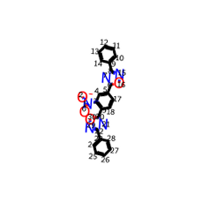 O=[N+]([O-])c1cc(-c2nc(-c3ccccc3)no2)ccc1-c1nc(-c2ccccc2)no1